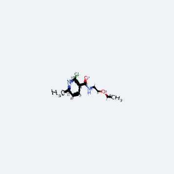 CCOCCNC(=O)c1ccc(C)nc1Cl